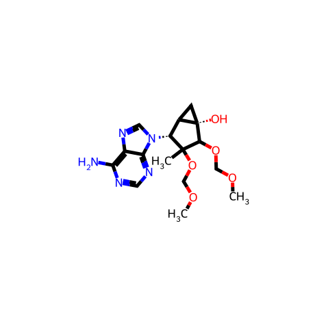 COCOC1C(C)(OCOC)[C@H](n2cnc3c(N)ncnc32)C2C[C@]21O